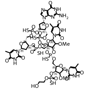 COC1[C@@H](OP(=O)(S)OCCO)[C@@H](COP(=O)(S)O[C@@H]2C(OC)[C@H](n3cc(C)c(=O)[nH]c3=O)O[C@@H]2COP(=O)(S)O[C@@H]2C[C@H](n3cc(C)c(=O)[nH]c3=O)O[C@@H]2COP(=O)(S)O[C@@H]2C[C@H](n3cnc4c(=O)[nH]c(N)nc43)O[C@@H]2COP(=O)(S)OC(C)C)O[C@H]1n1cc(C)c(=O)[nH]c1=O